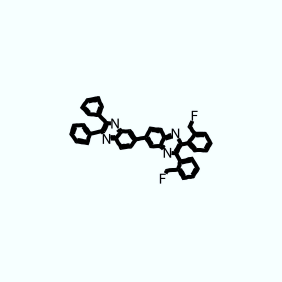 FCc1ccccc1-c1nc2ccc(-c3ccc4nc(-c5ccccc5)c(-c5ccccc5)nc4c3)cc2nc1-c1ccccc1CF